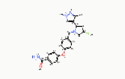 Cc1nn(C)cc1C1CC(F)CN1Cc1ccc(Oc2ccc(C(N)=O)cc2)cc1